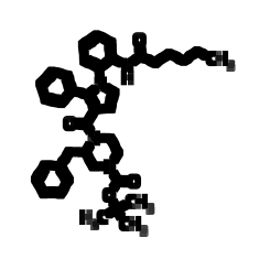 CCCCCC(=O)Nc1ccccc1-n1ccc(C(=O)N2CCN(C(=O)OC(C)(C)C)CC2Cc2ccccc2)c1-c1ccccc1